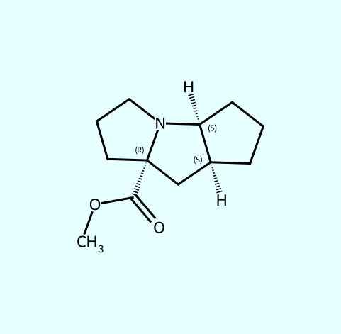 COC(=O)[C@]12CCCN1[C@H]1CCC[C@H]1C2